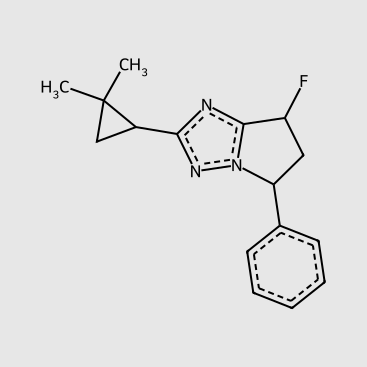 CC1(C)CC1c1nc2n(n1)C(c1ccccc1)CC2F